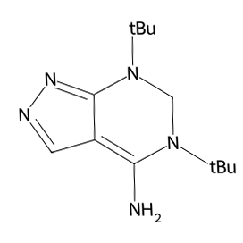 CC(C)(C)N1CN(C(C)(C)C)C(N)=C2C=NN=C21